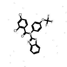 O=C(c1ccc(Cl)cc1Cl)N(c1ccc(OC(F)(F)F)cc1)c1nc2ccccc2s1